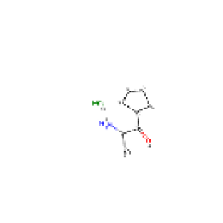 CC(C)C(N)C(=O)C1CCCC1.Cl